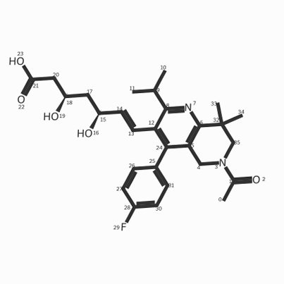 CC(=O)N1Cc2c(nc(C(C)C)c(/C=C/[C@@H](O)C[C@@H](O)CC(=O)O)c2-c2ccc(F)cc2)C(C)(C)C1